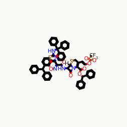 O=C(NC1C(=O)N2C(C(=O)OC(c3ccccc3)c3ccccc3)=C(C=COS(=O)(=O)C(F)(F)F)CS[C@@H]12)C(=NOc1ccccc1C(c1ccccc1)c1ccccc1)c1csc(NC(c2ccccc2)(c2ccccc2)c2ccccc2)n1